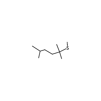 CSC(C)(C)CCC(C)C